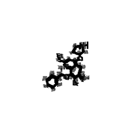 CCSc1cc(O[C@H]2CCNC2)c2cc(I)c(Br)c(O[C@@H](C)c3ccccc3)c2n1